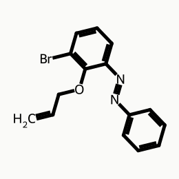 C=CCOc1c(Br)cccc1N=Nc1ccccc1